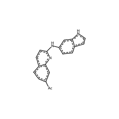 CC(=O)c1ccc2ccc(Nc3ccc4cc[nH]c4c3)nc2c1